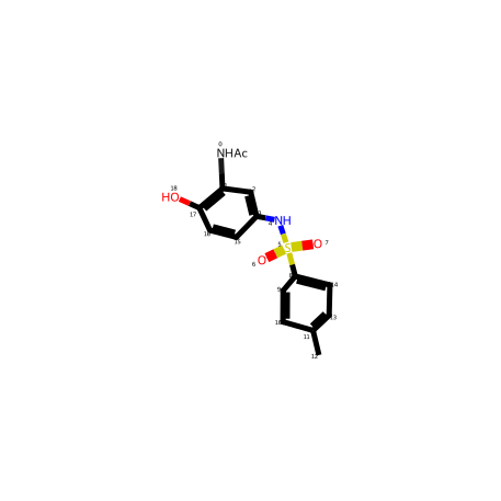 CC(=O)Nc1cc(NS(=O)(=O)c2ccc(C)cc2)ccc1O